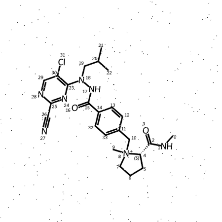 CNC(=O)[C@@H]1CCC[N+]1(C)Cc1ccc(C(=O)NN(CC(C)C)c2nc(C#N)ncc2Cl)cc1